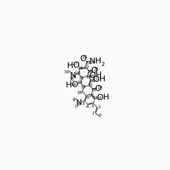 C/C=C/c1cc(N(C)C)c2c(c1O)C(=O)C1=C(O)[C@]3(O)C(=O)C(C(N)=O)=C(O)C(N(C)C)C3C(O)C1C2